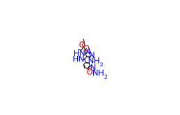 CCOC(=O)C(C)Nc1ncnc(N)c1C(=N)c1ccc2oc(N)nc2c1